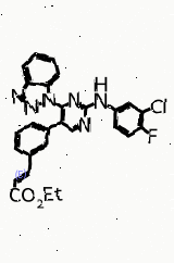 CCOC(=O)/C=C/c1cccc(-c2cnc(Nc3ccc(F)c(Cl)c3)nc2-n2nnc3ccccc32)c1